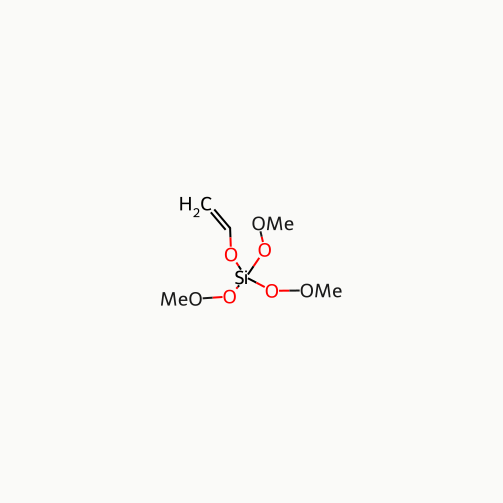 C=CO[Si](OOC)(OOC)OOC